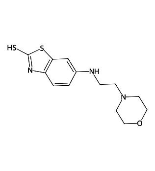 Sc1nc2ccc(NCCN3CCOCC3)cc2s1